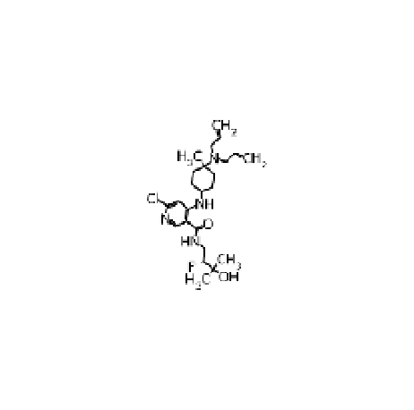 C=CCN(CC=C)C1(C)CCC(Nc2cc(Cl)ncc2C(=O)NC[C@@H](F)C(C)(C)O)CC1